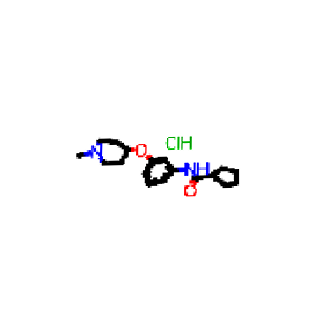 CN1CCC(Oc2cccc(NC(=O)C3CCCC3)c2)CC1.Cl